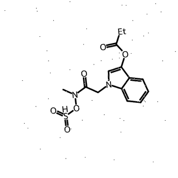 CCC(=O)Oc1cn(CC(=O)N(C)O[SH](=O)=O)c2ccccc12